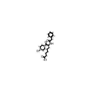 CCC(=O)CCCCC[C@H](NC(=O)Cc1ccccc1)C(=O)N1CCN(CC)CC1